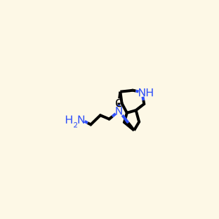 NCCCN1CC2CNCC3CC1CC3C2